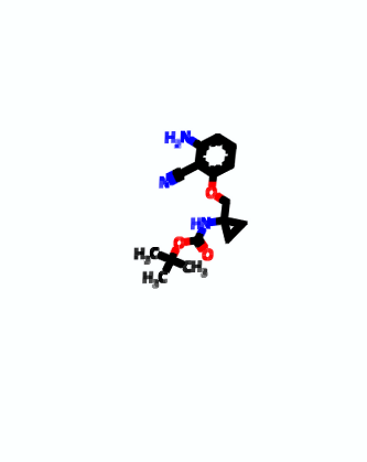 CC(C)(C)OC(=O)NC1(COc2cccc(N)c2C#N)CC1